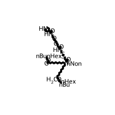 C=C(CCCCCCCCC(CCCCCCCCC(=O)OCC(CCCC)CCCCCC)N(CCCCCCCCC)C(=O)CCSSCCNC(=O)CCOCCOCCNC(=O)C1CCNCC1)OCC(CCCC)CCCCCC